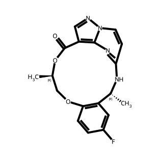 C[C@@H]1COc2ccc(F)cc2[C@@H](C)Nc2ccn3ncc(c3n2)C(=O)O1